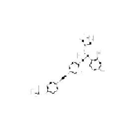 OC(Cn1cnnn1)(c1ccc(F)cc1F)C(F)(F)c1ccc(C#Cc2ccc(SC(F)(F)F)cc2)cn1